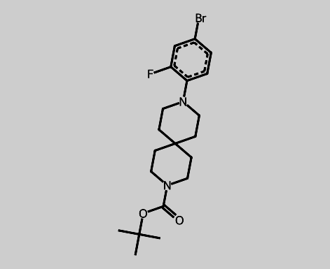 CC(C)(C)OC(=O)N1CCC2(CC1)CCN(c1ccc(Br)cc1F)CC2